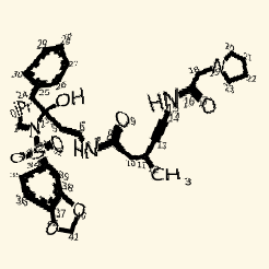 CC(C)CN(C(O)(CCNC(=O)CC(C)C#CNC(=O)CN1CCCC1)Cc1ccccc1)S(=O)(=O)c1ccc2c(c1)OCO2